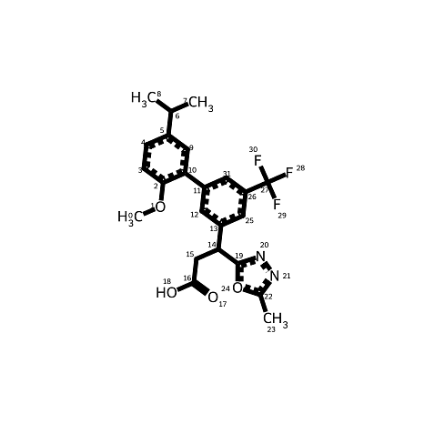 COc1ccc(C(C)C)cc1-c1cc(C(CC(=O)O)c2nnc(C)o2)cc(C(F)(F)F)c1